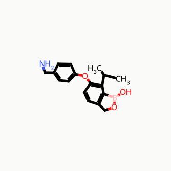 CC(C)c1c(Oc2ccc(CN)cc2)ccc2c1B(O)OC2